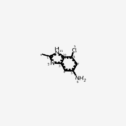 Cc1nc2cc(N)cc(Cl)c2[nH]1